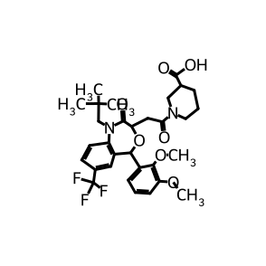 COc1cccc(C2OC(CC(=O)N3CCCC(C(=O)O)C3)C(=O)N(CC(C)(C)C)c3ccc(C(F)(F)F)cc32)c1OC